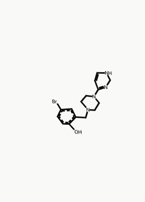 Oc1ccc(Br)cc1CN1CCN(C2=NCNC=C2)CC1